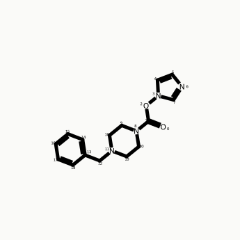 O=C(On1ccnc1)N1CCN(Cc2ccccc2)CC1